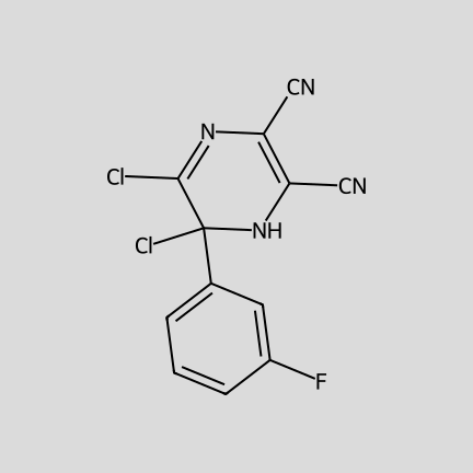 N#CC1=C(C#N)NC(Cl)(c2cccc(F)c2)C(Cl)=N1